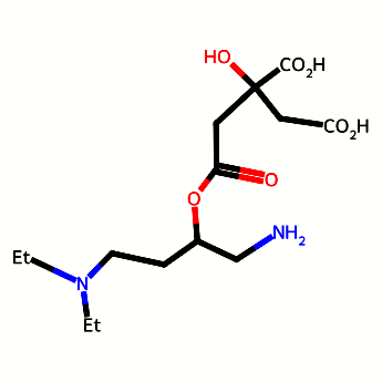 CCN(CC)CCC(CN)OC(=O)CC(O)(CC(=O)O)C(=O)O